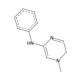 CN1C=C(Nc2ccccc2)N=CC1